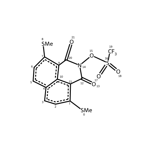 CSc1ccc2ccc(SC)c3c2c1C(=O)N(OS(=O)(=O)C(F)(F)F)C3=O